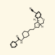 N#Cc1ccc2c(c1)[C@@H]1CN(CCC3CCC(NC(=O)c4ccccc4)CC3)C[C@H]1CO2